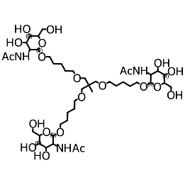 CC(=O)NC1C(O)[C@@H](O)C(CO)O[C@H]1OCCCCCOCC(C)(COCCCCCO[C@@H]1OC(CO)[C@H](O)C(O)C1NC(C)=O)COCCCCCO[C@@H]1OC(CO)[C@H](O)C(O)C1NC(C)=O